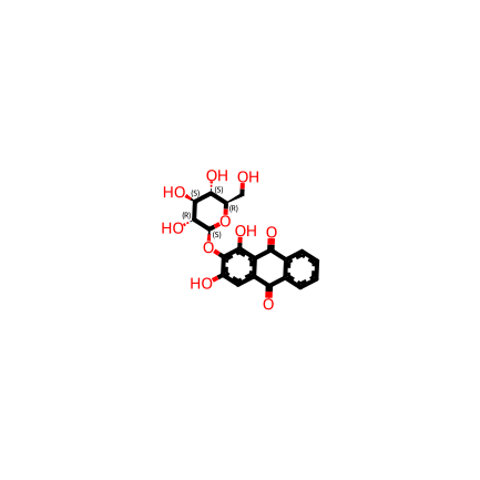 O=C1c2ccccc2C(=O)c2c1cc(O)c(O[C@@H]1O[C@H](CO)[C@@H](O)[C@H](O)[C@H]1O)c2O